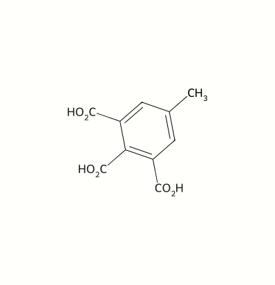 Cc1cc(C(=O)O)c(C(=O)O)c(C(=O)O)c1